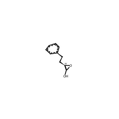 OC1O[C@@H]1CCc1ccccc1